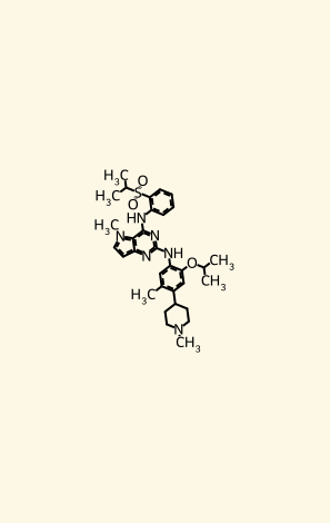 Cc1cc(Nc2nc(Nc3ccccc3S(=O)(=O)C(C)C)c3c(ccn3C)n2)c(OC(C)C)cc1C1CCN(C)CC1